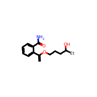 C=C(OCCCC(O)CC)c1ccccc1C(N)=O